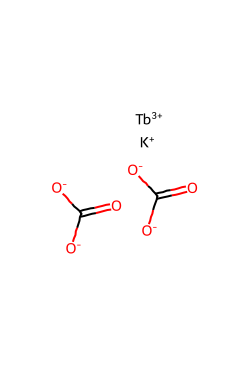 O=C([O-])[O-].O=C([O-])[O-].[K+].[Tb+3]